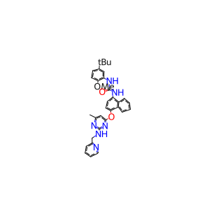 COc1ccc(C(C)(C)C)cc1NC(=O)Nc1ccc(Oc2cc(C)nc(NCc3ccccn3)n2)c2ccccc12